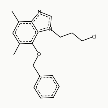 Cc1cc(C)c2ncn(CCCCl)c2c1OCc1ccccc1